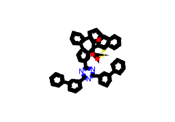 c1ccc(-c2cccc(-c3nc(-c4cccc(-c5ccccc5)c4)nc(-c4ccc5c(c4)C4(c6ccccc6Sc6c4ccc4ccccc64)c4ccccc4-c4ccccc4-5)n3)c2)cc1